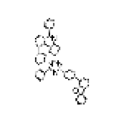 c1ccc(-c2nc(-c3ccc(-c4cccc5c4oc4ccccc45)cc3)nc(-c3ccc4nc(-c5ccccc5)c5cccc(-c6ccccc6)c5c4c3)n2)cc1